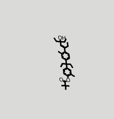 CCC(=CC(O)(CC)CC)c1ccc(C(CC)(CC)c2ccc(OC(=O)C(C)(C)C)c(C)c2)cc1C